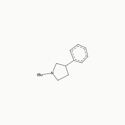 CC(C)(C)N1CCC(c2ccccc2)C1